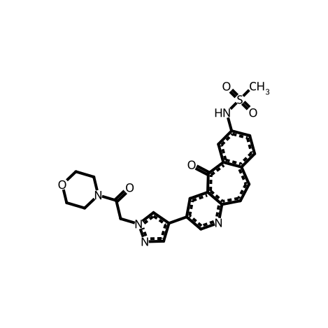 CS(=O)(=O)Nc1ccc2ccc3ncc(-c4cnn(CC(=O)N5CCOCC5)c4)cc3c(=O)c2c1